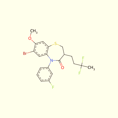 COc1cc2c(cc1Br)N(c1cccc(F)c1)C(=O)C(CCC(C)(F)F)CS2